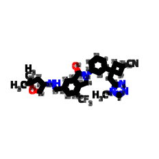 Cn1cnnc1CC1(c2cccc(N3Cc4c(cc(CNC5COC(C)(C)C5)cc4C(F)(F)F)C3=O)c2)CC(C#N)C1